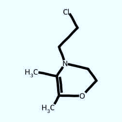 CC1=C(C)N(CCCl)CCO1